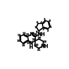 c1ccc2c(c1)CCC2NC1=Nc2ccccc2NC12CCNCC2